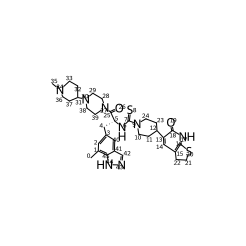 Cc1cc(C[C@@H](NC(=S)N2CCC(c3cc4c([nH]c3=O)SCC4)CC2)C(=O)N2CCN(C3CCN(C)CC3)CC2)cc2cn[nH]c12